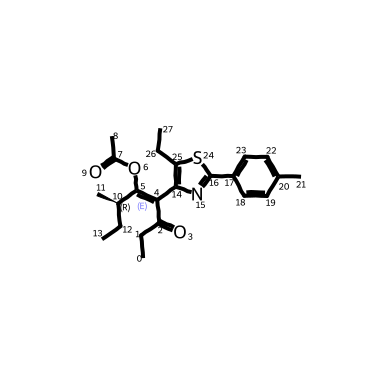 CCC(=O)/C(=C(/OC(C)=O)[C@H](C)CC)c1nc(-c2ccc(C)cc2)sc1CC